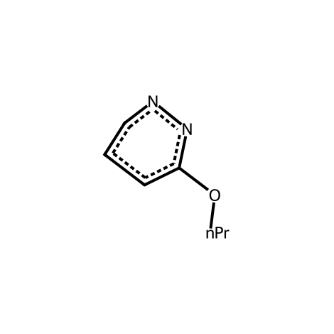 CCCOc1cccnn1